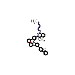 C=N\C(=N/C(=N\C=C/C=C\C=C\C)c1ccccc1)c1ccc(-c2ccccc2)c(-n2c3ccccc3c3cc(-c4ccc5c(c4)oc4ccccc45)ccc32)c1